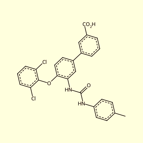 Cc1ccc(NC(=O)Nc2cc(-c3cccc(C(=O)O)c3)ccc2Oc2c(Cl)cccc2Cl)cc1